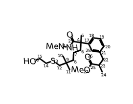 CNNC(=O)C(C)(CCCC(C)(C)CSCCO)c1cccc(CC(C)C(=O)OC)c1